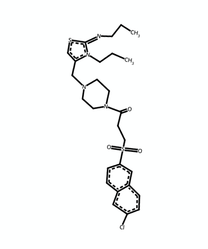 CCCN=c1scc(CN2CCN(C(=O)CCS(=O)(=O)c3ccc4cc(Cl)ccc4c3)CC2)n1CCC